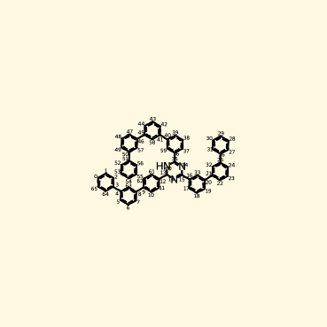 c1ccc(-c2cccc(-c3ccc(C4N=C(c5cccc(-c6cccc(-c7ccccc7)c6)c5)N=C(c5cccc(-c6cccc(-c7cccc(-c8ccccc8)c7)c6)c5)N4)cc3)c2)cc1